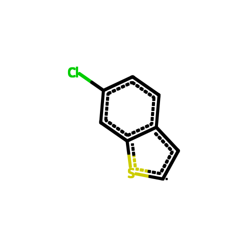 Clc1ccc2c[c]sc2c1